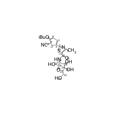 Cc1nc(C2=CC=C(OCC(C)C)C(C#N)C2)sc1C(=O)NC1C(O)OC(CO)C(O)C1O